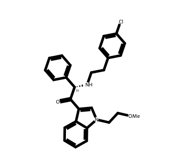 COCCn1cc(C(=O)[C@@H](NCCc2ccc(Cl)cc2)c2ccccc2)c2ccccc21